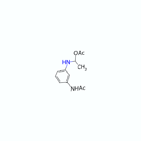 CC(=O)Nc1cccc(NC(C)OC(C)=O)c1